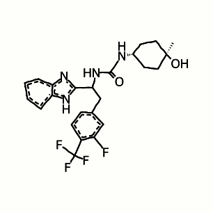 C[C@]1(O)CC[C@H](NC(=O)NC(Cc2ccc(C(F)(F)F)c(F)c2)c2nc3ccccc3[nH]2)CC1